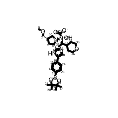 COC[C@H]1C[C@@H](c2ncc(-c3ccc(B4OC(C)(C)C(C)(C)O4)cc3)[nH]2)N([N+](O)(C(=O)[O-])C(C)C2CCOCC2)C1